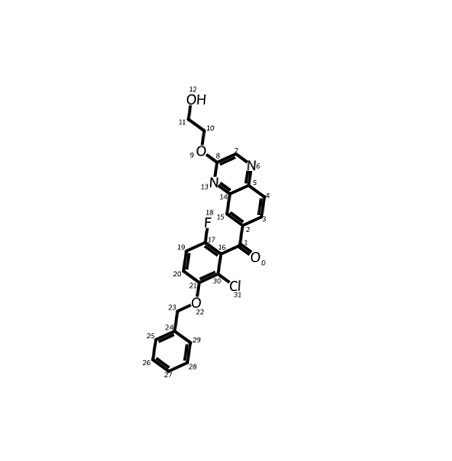 O=C(c1ccc2ncc(OCCO)nc2c1)c1c(F)ccc(OCc2ccccc2)c1Cl